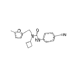 Cc1ccc(CN(C(=O)Nc2ccc(C#N)cc2)C2CCC2)o1